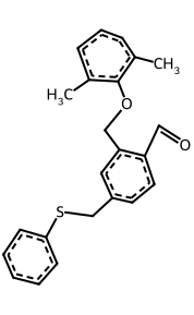 Cc1cccc(C)c1OCc1cc(CSc2ccccc2)ccc1C=O